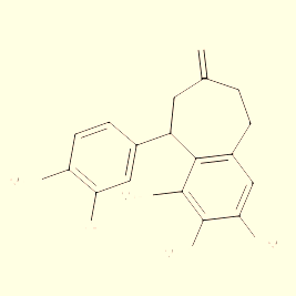 COc1ccc(C2CC(=O)CCc3cc(OC)c(OC)c(OC)c32)cc1O